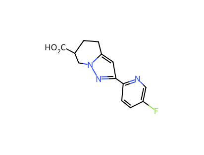 O=C(O)C1CCc2cc(-c3ccc(F)cn3)nn2C1